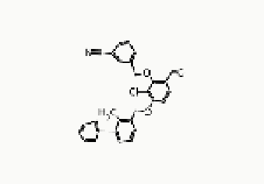 Cc1c(COc2ccc(C=O)c(OCc3cccc(C#N)c3)c2Cl)cccc1-c1ccccc1